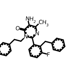 Cc1nc(-c2cccc(F)c2Cc2ccccc2)n(CCc2ccccc2)c(=O)c1N